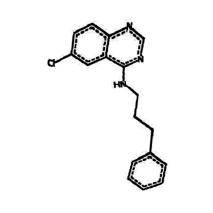 Clc1ccc2ncnc(NCCCc3ccccc3)c2c1